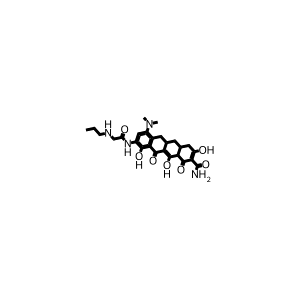 CCCNCC(=O)Nc1cc(N(C)C)c2c(c1O)C(=O)C1=C(O)C3C(=O)C(C(N)=O)=C(O)CC3CC1C2